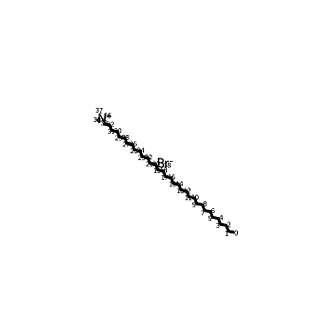 CCCCCCCCCCCCCCCCCCCCCCCCCCCCCCCCCC[N+](C)(C)C.[Br-]